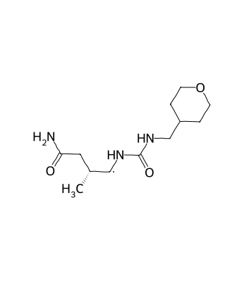 C[C@@H]([CH]NC(=O)NCC1CCOCC1)CC(N)=O